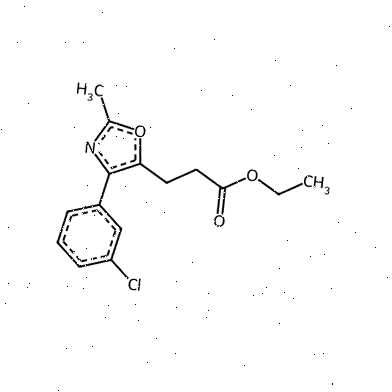 CCOC(=O)CCc1oc(C)nc1-c1cccc(Cl)c1